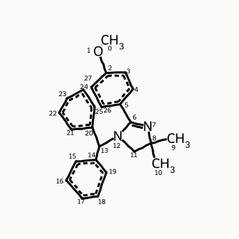 COc1ccc(C2=NC(C)(C)CN2C(c2ccccc2)c2ccccc2)cc1